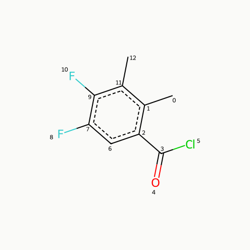 Cc1c(C(=O)Cl)cc(F)c(F)c1C